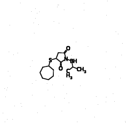 CC(C)BN1C(=O)CC(SC2CCCCCC2)C1=O